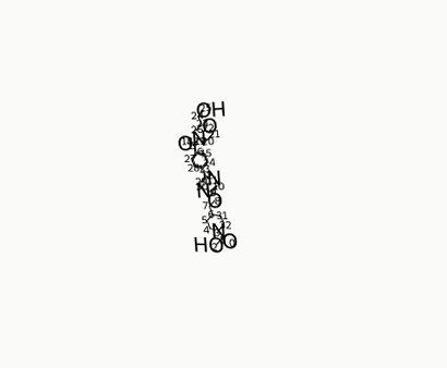 O=C(O)N1CCC(COc2cnc(-c3ccc(C(=O)N4CCOC(CO)C4)cc3)cn2)CC1